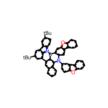 CC(C)(C)c1ccc2c(c1)c1cc(C(C)(C)C)cc3c1n2B1c2cc4oc5ccccc5c4cc2N(c2ccc4oc5ccccc5c4c2)c2c1c-3cc1ccccc21